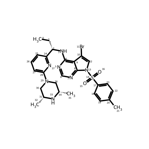 CC[C@H](Nc1ncnc2c1c(Br)cn2S(=O)(=O)c1ccc(C)cc1)c1cccc(N2C[C@@H](C)N[C@@H](C)C2)n1